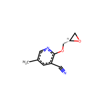 Cc1cnc(OC[C@@H]2CO2)c(C#N)c1